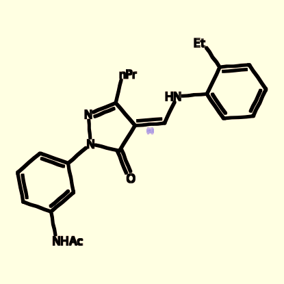 CCCC1=NN(c2cccc(NC(C)=O)c2)C(=O)/C1=C/Nc1ccccc1CC